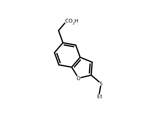 CCSc1cc2cc(CC(=O)O)ccc2o1